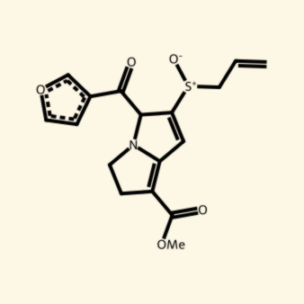 C=CC[S+]([O-])C1=CC2=C(C(=O)OC)CCN2C1C(=O)c1ccoc1